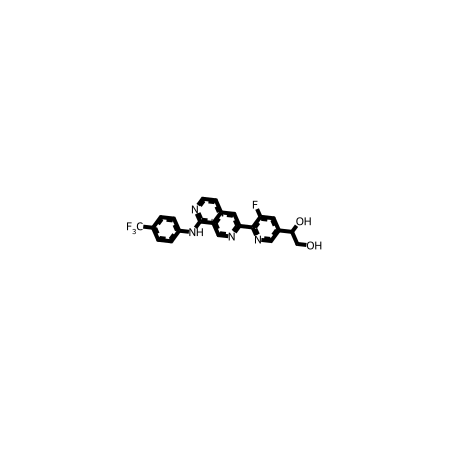 OCC(O)c1cnc(-c2cc3ccnc(Nc4ccc(C(F)(F)F)cc4)c3cn2)c(F)c1